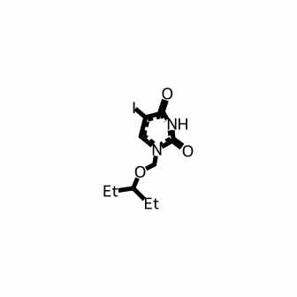 CCC(CC)OCn1cc(I)c(=O)[nH]c1=O